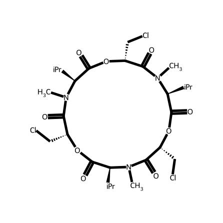 CC(C)[C@H]1C(=O)O[C@H](CCl)C(=O)N(C)[C@@H](C(C)C)C(=O)O[C@H](CCl)C(=O)N(C)[C@@H](C(C)C)C(=O)O[C@H](CCl)C(=O)N1C